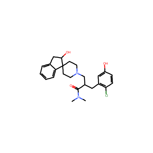 CN(C)C(=O)C(Cc1cc(O)ccc1Cl)CN1CCC2(CC1)c1ccccc1CC2O